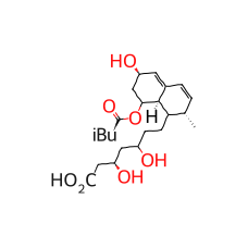 CC[C@H](C)C(=O)OC1C[C@@H](O)C=C2C=C[C@H](C)C(CCC(O)C[C@@H](O)CC(=O)O)[C@H]21